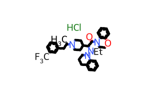 CCN(C(C(=O)N1CCOc2ccccc21)C1CCN(C(C)Cc2cccc(C(F)(F)F)c2)CC1)N1CCCc2ccccc21.Cl